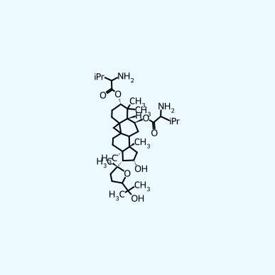 CC(C)C(N)C(=O)O[C@H]1CC2C3(CC[C@]4(C)[C@@H]([C@@]5(C)CCC(C(C)(C)O)O5)[C@@H](O)C[C@@]24C)CC32CC[C@H](OC(=O)C(N)C(C)C)C(C)(C)[C@H]12